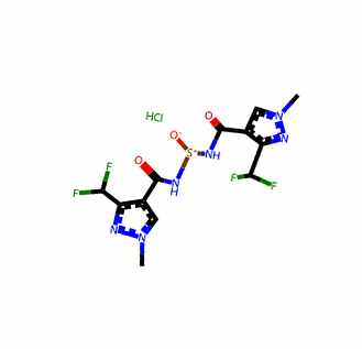 Cl.Cn1cc(C(=O)N[S+]([O-])NC(=O)c2cn(C)nc2C(F)F)c(C(F)F)n1